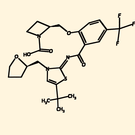 CC(C)(C)c1cn(C[C@H]2CCCO2)/c(=N/C(=O)c2cc(C(F)(F)F)ccc2OC[C@@H]2CCN2C(=O)O)s1